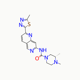 Cc1nnc(-c2ccc3cnc(NC(=O)N4CCN(C)[C@@H](C)C4)cc3n2)s1